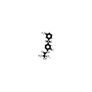 C[C@@](O)(C(=O)Nc1ccc(S(=O)(=O)c2cccc(C(F)(F)F)c2)cc1Cl)C(F)(F)F